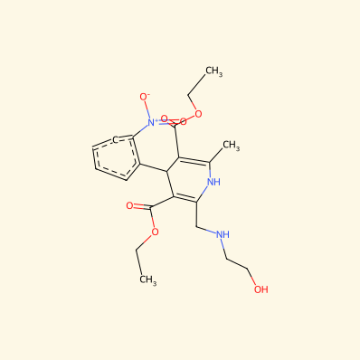 CCOC(=O)C1=C(C)NC(CNCCO)=C(C(=O)OCC)C1c1ccccc1[N+](=O)[O-]